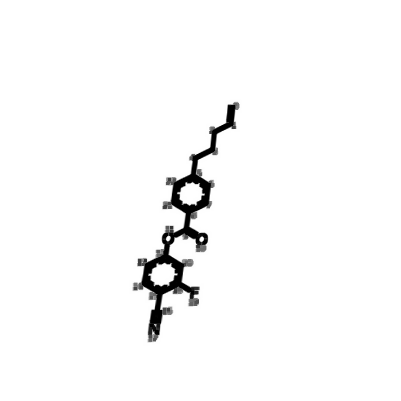 C=CCCCc1ccc(C(=O)Oc2ccc(C#N)c(F)c2)cc1